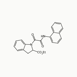 CCOC(=O)C1Cc2ccccc2N1C(=O)C(=O)Nc1cccc2ccccc12